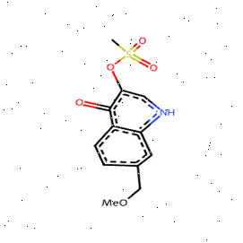 COCc1ccc2c(=O)c(OS(C)(=O)=O)c[nH]c2c1